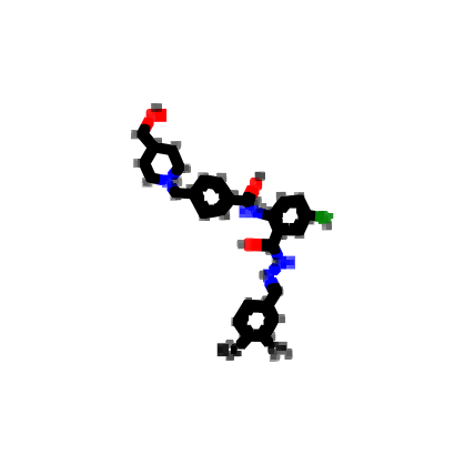 Cc1ccc(/C=N/NC(=O)c2cc(Br)ccc2NC(=O)c2ccc(CN3CCC(CO)CC3)cc2)cc1C